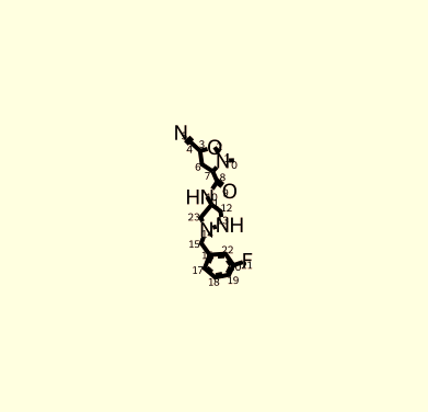 CN1OC(C#N)CC1C(=O)NC1CNN(Cc2cccc(F)c2)C1